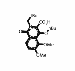 CCCCOc1c(C(=O)O)n(CC(C)(C)C)c(=O)c2ccc(OC)c(OC)c12